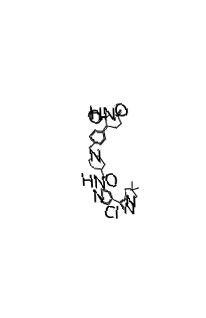 CC1(C)Cc2c(-c3cc(NC(=O)C4CCN(Cc5ccc(C6CCC(=O)NC6=O)cc5)CC4)ncc3Cl)cnn2C1